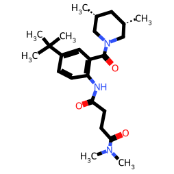 C[C@@H]1C[C@H](C)CN(C(=O)c2cc(C(C)(C)C)ccc2NC(=O)CCC(=O)N(C)C)C1